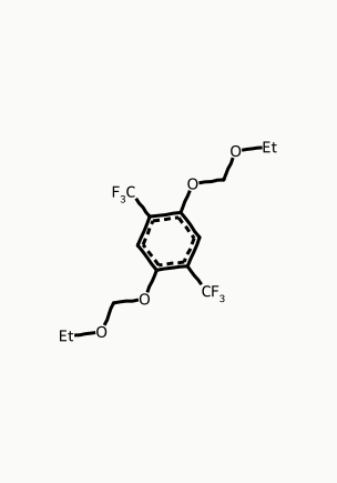 CCOCOc1cc(C(F)(F)F)c(OCOCC)cc1C(F)(F)F